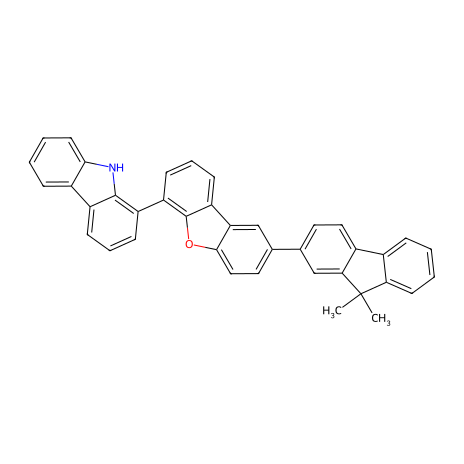 CC1(C)c2ccccc2-c2ccc(-c3ccc4oc5c(-c6cccc7c6[nH]c6ccccc67)cccc5c4c3)cc21